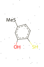 CSc1ccc(S)c(O)c1